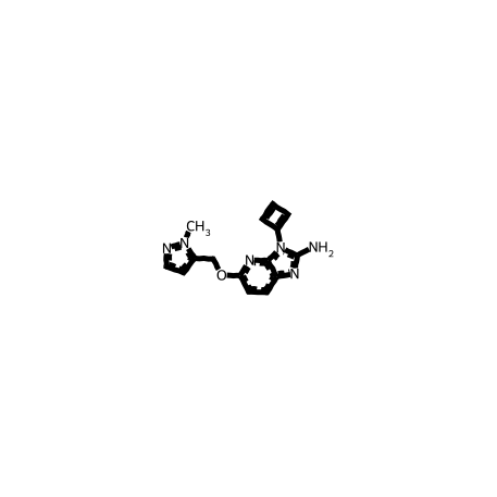 Cn1nccc1COc1ccc2nc(N)n(C3=CC=C3)c2n1